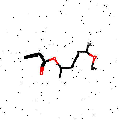 C=CC(=O)OC(C)CCC(CC)OCCC